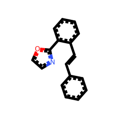 C(=C\c1ccccc1-c1ncco1)/c1ccccc1